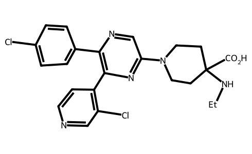 CCNC1(C(=O)O)CCN(c2cnc(-c3ccc(Cl)cc3)c(-c3ccncc3Cl)n2)CC1